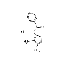 C[n+]1ccn(CC(=O)c2ccccc2)c1N.[Cl-]